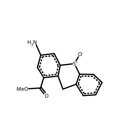 COC(=O)c1cc(N)cc2c1Cc1ccccc1[S+]2[O-]